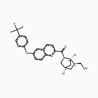 O=C(c1ccc2cc(Oc3ccc(C(F)(F)F)cn3)ccc2n1)N1C[C@@H]2C[C@H](CO)[C@H]1C2